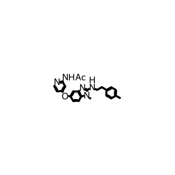 CC(=O)Nc1cc(Oc2ccc3c(c2)nc(NCCc2ccc(C)cc2)n3C)ccn1